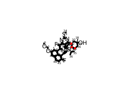 COCOc1cc(-c2nc(C)c3c(N4CCC[C@@](C)(O)C4)nc(SC)nc3c2F)c2c(C#C[Si](C(C)C)(C(C)C)C(C)C)c(F)ccc2c1